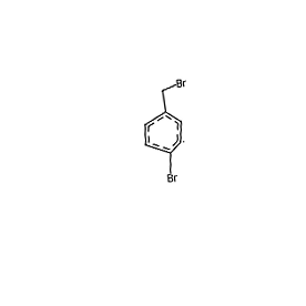 BrCc1c[c]c(Br)cc1